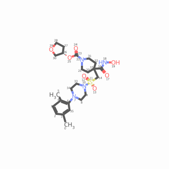 Cc1ccc(C)c(N2CCN(S(=O)(=O)CC3(C(=O)NO)CCN(C(=O)O[C@H]4CCOC4)CC3)CC2)c1